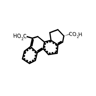 O=C(O)C1=c2ccccc2=c2ccc3c(c2C1)CC[C@H](C(=O)O)C=3